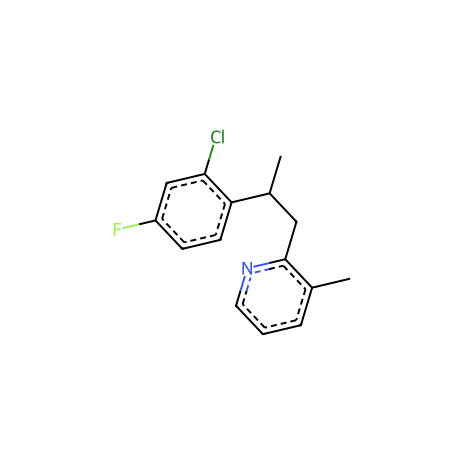 Cc1cccnc1CC(C)c1ccc(F)cc1Cl